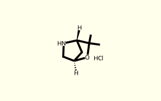 CC1(C)O[C@H]2CN[C@H]1C2.Cl